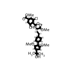 COC(=O)c1cc(Cl)c(C(=O)N[C@@H](CCc2ccc(-c3c(OC)cc(C(C)(C)O)cc3OC)cc2)C(=O)OC)c(Cl)c1